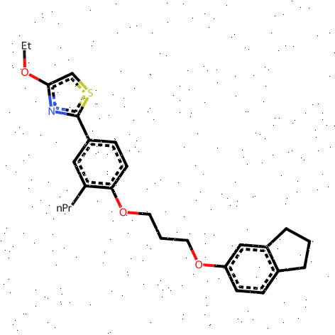 CCCc1cc(-c2nc(OCC)cs2)ccc1OCCCOc1ccc2c(c1)C[CH]C2